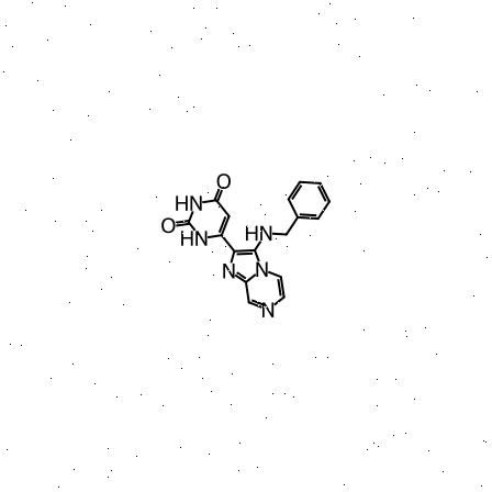 O=c1cc(-c2nc3cnccn3c2NCc2ccccc2)[nH]c(=O)[nH]1